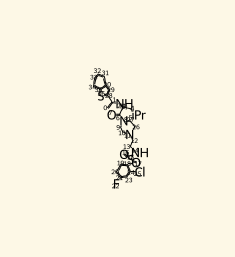 C=C(N[C@@H](CC(C)C)C(=O)N1CCN(CCNS(=O)(=O)c2ccc(F)cc2Cl)CC1)c1cc2ccccc2s1